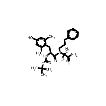 Cc1cc(O)cc(C)c1CC(NC(=O)OC(C)(C)C)C(=O)N(CCCc1ccccc1)C(C)(C)C(N)=O